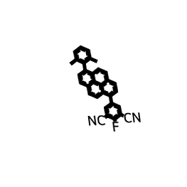 Cc1cccc(C)c1-c1ccc2ccc3c(-c4cc(C#N)c(F)c(C#N)c4)ccc4ccc1c2c43